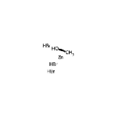 Br.Br.Br.CO.[Zn]